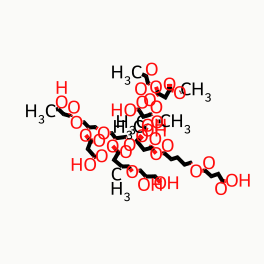 CC(O)CC(=O)OCC(COCC(COC(=O)CC(=O)OC(=O)CCCCOC(=O)CCC(=O)O)OC(=O)CC(C)COCC(O)CO)OC(=O)CC(=O)O.CO.CO.COC(=O)CC(=O)O.COC(=O)CC(=O)OC(=O)C(C)=O